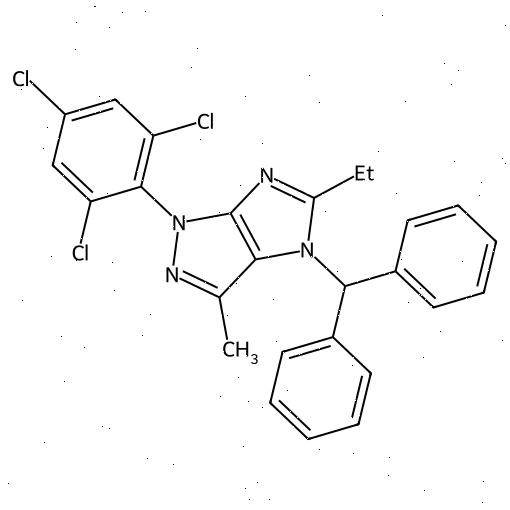 CCc1nc2c(c(C)nn2-c2c(Cl)cc(Cl)cc2Cl)n1C(c1ccccc1)c1ccccc1